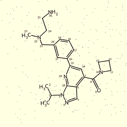 CC(C)n1ncc2c(C(=O)N3CCC3)cc(-c3cccc(CN(C)CCN)c3)nc21